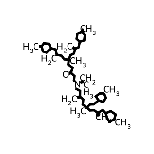 C=C(CCN(CCC(=O)CCC(C)(CCC(=C)CC1CCC(C)CC1)CCC(=C)CC1CCC(C)CC1)C(=C)C)CCC(C)(CCC(=C)CC1CCC(C)CC1)CCC1CCC(C)CC1